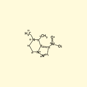 CC1c2c([N+](=O)[O-])cnn2CCN1C